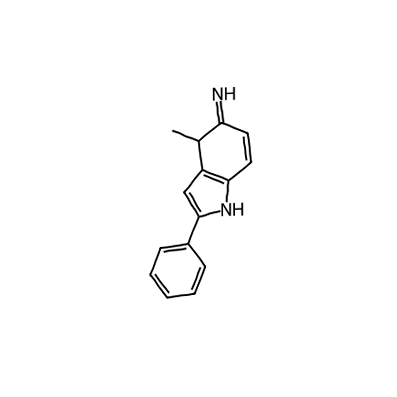 CC1C(=N)C=Cc2[nH]c(-c3ccccc3)cc21